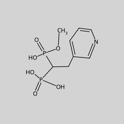 COP(=O)(O)C(Cc1cccnc1)P(=O)(O)O